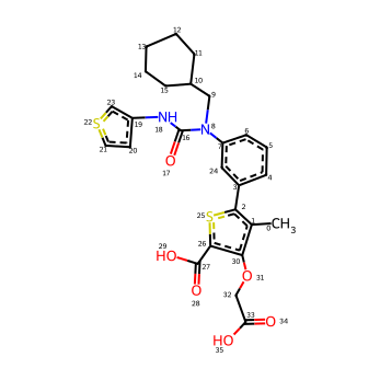 Cc1c(-c2cccc(N(CC3CCCCC3)C(=O)Nc3ccsc3)c2)sc(C(=O)O)c1OCC(=O)O